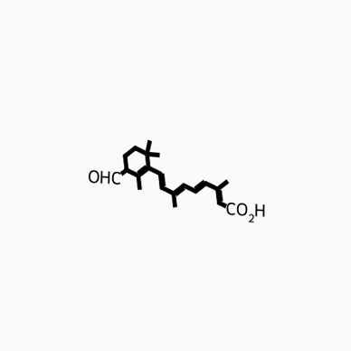 CC(C=CC1=C(C)C(C=O)CCC1(C)C)=CC=CC(C)=CC(=O)O